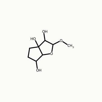 COC1OC2C(O)CCC2(O)C1O